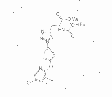 COC(=O)C(Cc1nnn(-c2ccc(Oc3ncc(Cl)cc3F)cc2)n1)NC(=O)OC(C)(C)C